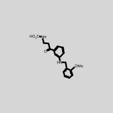 COc1ccccc1CNc1cccc(C(=O)CCNC(=O)O)c1